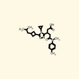 Cc1ccc(N(C)C(=O)CC(CC(=O)O)c2nnc(C3CC(CC(C)C)C3)n2C2CC2)cc1